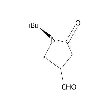 CC[C@H](C)N1CC(C=O)CC1=O